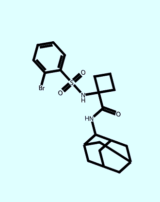 O=C(NC1C2CC3CC(C2)CC1C3)C1(NS(=O)(=O)c2ccccc2Br)CCC1